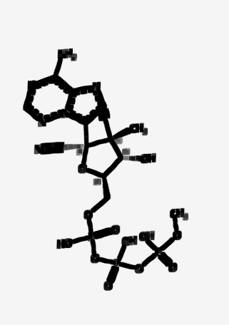 COP(=O)(O)OP(=O)(O)OP(=O)(O)OC[C@H]1O[C@@](C#N)(c2cnc3c(N)ncnn23)[C@](C)(C#N)[C@@H]1O